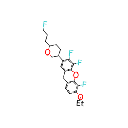 CCOc1ccc2c(c1F)Oc1c(cc(C3CCC(CCCF)OC3)c(F)c1F)C2